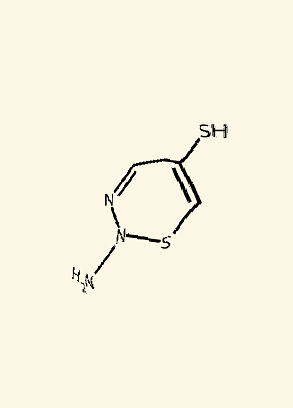 NN1N=CC(S)=CS1